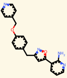 Nc1ncccc1-c1cc(Cc2ccc(OCc3ccncc3)cc2)no1